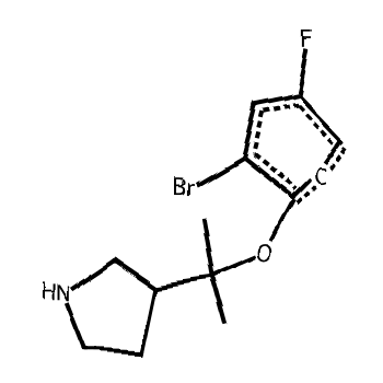 CC(C)(Oc1ccc(F)cc1Br)C1CCNC1